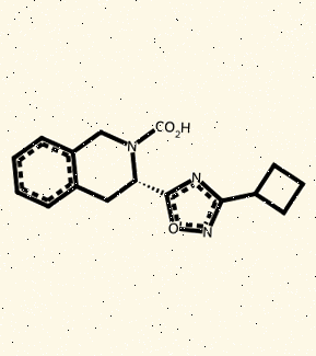 O=C(O)N1Cc2ccccc2C[C@H]1c1nc(C2CCC2)no1